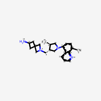 N#Cc1ccc(N2C[C@H](CN3CC4(CC(N)C4)C3)[C@@H](C(F)(F)F)C2)c2cccnc12